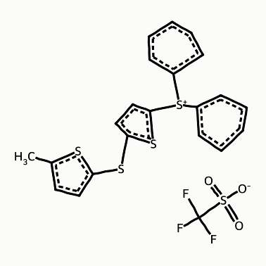 Cc1ccc(Sc2ccc([S+](c3ccccc3)c3ccccc3)s2)s1.O=S(=O)([O-])C(F)(F)F